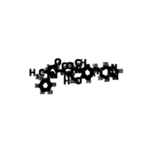 Cc1cc(=O)c(C(=O)NC2COc3ccc(CN4CCn5ncnc5C4)cc3N(C)C2=O)nn1-c1ccccc1